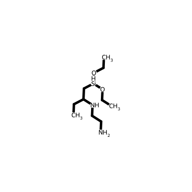 CCO[SiH](CC(CC)NCCN)OCC